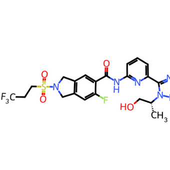 C[C@H](CO)n1nnnc1-c1cccc(NC(=O)c2cc3c(cc2F)CN(S(=O)(=O)CCC(F)(F)F)C3)n1